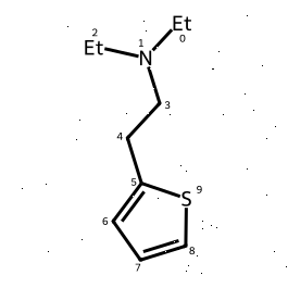 CCN(CC)CCc1cccs1